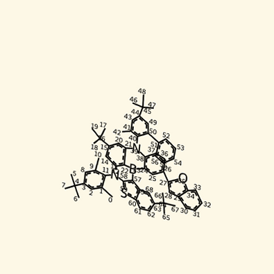 Cc1cc(C(C)(C)C)cc(C)c1N1c2cc(C(C)(C)C)cc3c2B(c2cc(-c4cc5ccccc5o4)ccc2N3c2c(C)cc(C(C)(C)C)cc2-c2ccccc2)c2c1sc1ccc(C(C)(C)C)cc21